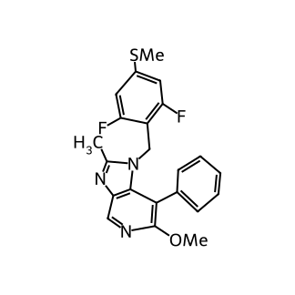 COc1ncc2nc(C)n(Cc3c(F)cc(SC)cc3F)c2c1-c1ccccc1